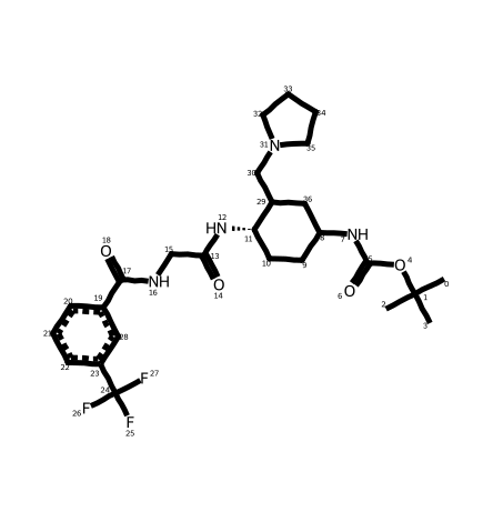 CC(C)(C)OC(=O)NC1CC[C@H](NC(=O)CNC(=O)c2cccc(C(F)(F)F)c2)C(CN2CCCC2)C1